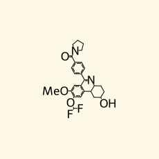 COc1cc2c(cc1OC(F)F)C1CC(O)CCC1N=C2c1ccc(C(=O)N2CCCC2)cc1